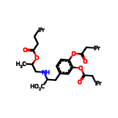 CC(C)CCC(=O)OC(C)CN[C@@H](Cc1ccc(OC(=O)CC(C)C)c(OC(=O)CC(C)C)c1)C(=O)O